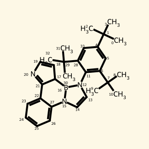 CC(C)(C)c1cc(C(C)(C)C)c(N2C=CN3B2C2C=CN=C2c2ccccc23)c(C(C)(C)C)c1